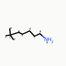 CC(C)(C)CCCCCN